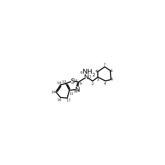 NN(CC1CCCCC1)c1nc2c(s1)C=CCC2